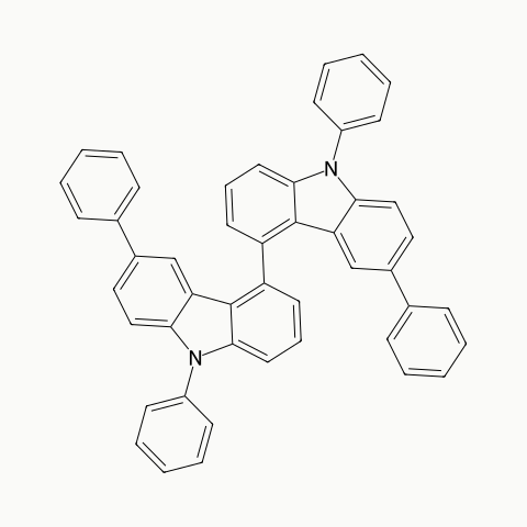 c1ccc(-c2ccc3c(c2)c2c(-c4cccc5c4c4cc(-c6ccccc6)ccc4n5-c4ccccc4)cccc2n3-c2ccccc2)cc1